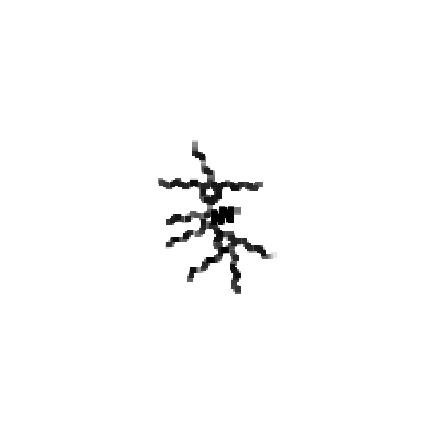 CCCCCC1=C(c2cc(CCCCC)c(CCCCC)c(CCCCC)c2)[N+](=[N-])C(c2cc(CCCCC)c(CCCCC)c(CCCCC)c2)=C1CCCC